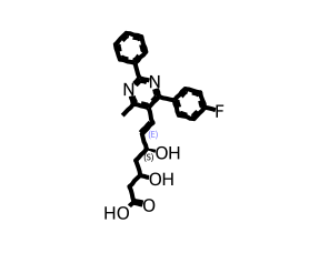 Cc1nc(-c2ccccc2)nc(-c2ccc(F)cc2)c1/C=C/[C@@H](O)CC(O)CC(=O)O